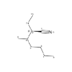 CCCCC(C)[C@H](C#N)CC